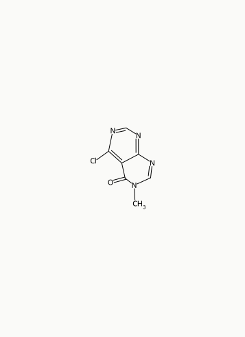 Cn1cnc2ncnc(Cl)c2c1=O